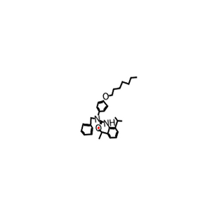 CCCCCCCOc1ccc(N(Cc2ccccc2)C(=O)Nc2c(C(C)C)cccc2C(C)C)cc1